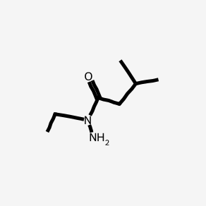 CCN(N)C(=O)CC(C)C